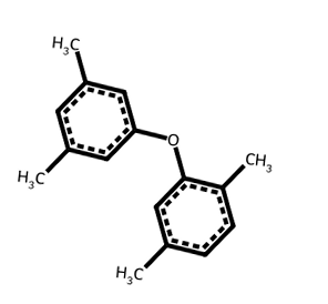 Cc1cc(C)cc(Oc2cc(C)ccc2C)c1